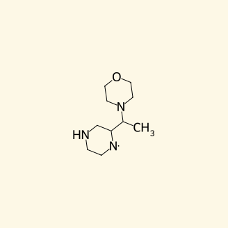 CC(C1CNCC[N]1)N1CCOCC1